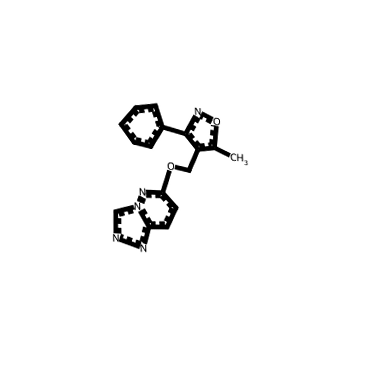 Cc1onc(-c2ccccc2)c1COc1ccc2nncn2n1